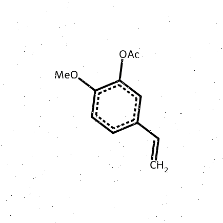 C=Cc1ccc(OC)c(OC(C)=O)c1